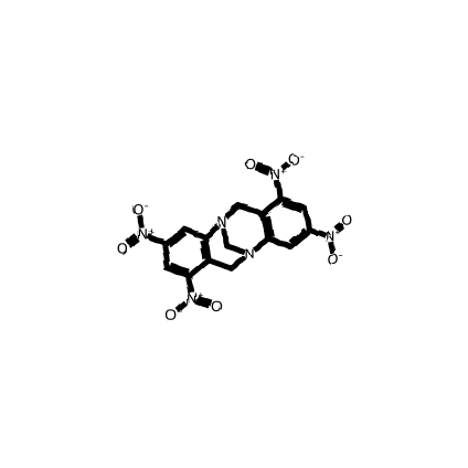 O=[N+]([O-])c1cc2c(c([N+](=O)[O-])c1)CN1CN2Cc2c1cc([N+](=O)[O-])cc2[N+](=O)[O-]